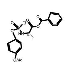 COc1ccc(OP(=O)(Cl)N[C@@H](C)C(=O)OC(=O)c2ccccc2)cc1